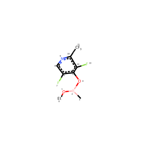 CCOB(C)Oc1c(F)cnc(C(F)(F)F)c1F